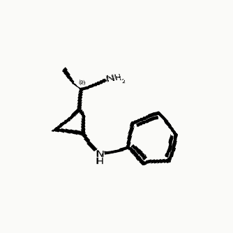 C[C@@H](N)C1CC1Nc1ccccc1